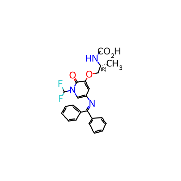 C[C@H](COc1cc(N=C(c2ccccc2)c2ccccc2)cn(C(F)F)c1=O)NC(=O)O